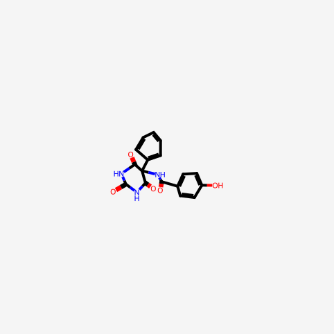 O=C1NC(=O)C(NC(=O)c2ccc(O)cc2)(c2ccccc2)C(=O)N1